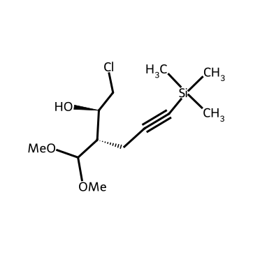 COC(OC)[C@@H](CC#C[Si](C)(C)C)[C@@H](O)CCl